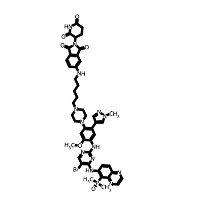 COc1cc(N2CCN(CCCCCNc3ccc4c(c3)C(=O)N(C3CCC(=O)NC3=O)C4=O)CC2)c(-c2cnn(C)c2)cc1Nc1ncc(Br)c(Nc2ccc3nccnc3c2P(C)(C)=O)n1